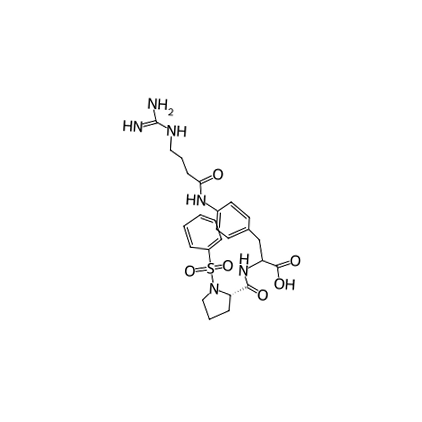 N=C(N)NCCCC(=O)Nc1ccc(CC(NC(=O)[C@@H]2CCCN2S(=O)(=O)c2ccccc2)C(=O)O)cc1